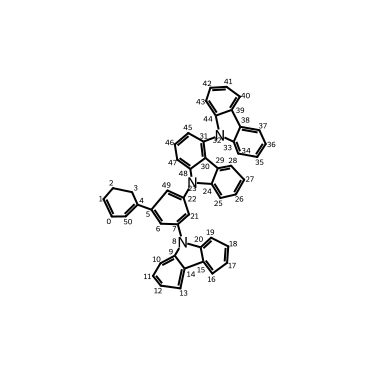 C1=CCCC(c2cc(-n3c4ccccc4c4ccccc43)cc(-n3c4ccccc4c4c(-n5c6ccccc6c6ccccc65)cccc43)c2)=C1